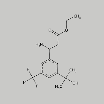 CCOC(=O)CC(N)c1cc(C(C)(C)O)cc(C(F)(F)F)c1